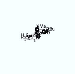 CNc1ccc(-c2cn(COCC[Si](C)(C)C)c3nccc(OCC4(C)CCN(C(=O)OC(C)(C)C)CC4)c23)cc1